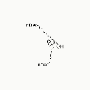 CCCCCCCCCCCCCCCCCC(=O)C[C@@H](CO)C(=O)CCCCCCCCCCCCCCCCC